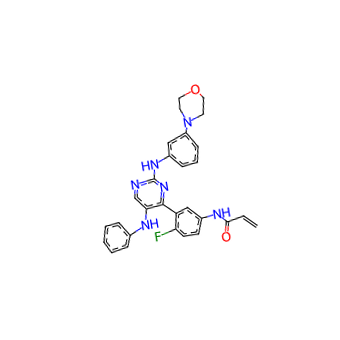 C=CC(=O)Nc1ccc(F)c(-c2nc(Nc3cccc(N4CCOCC4)c3)ncc2Nc2ccccc2)c1